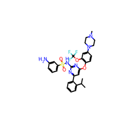 CC(C)c1ccccc1-c1cc(Oc2ccc(N3CCN(C)CC3)cc2OC(F)(F)F)nc(NS(=O)(=O)c2cccc(N)c2)n1